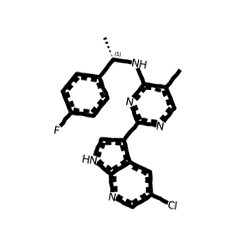 Cc1cnc(-c2c[nH]c3ncc(Cl)cc23)nc1N[C@@H](C)c1ccc(F)cc1